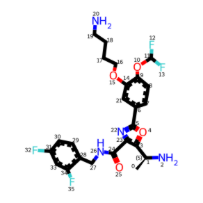 C[C@H](N)c1oc(-c2ccc(OC(F)F)c(OCCCCN)c2)nc1C(=O)NCc1ccc(F)cc1F